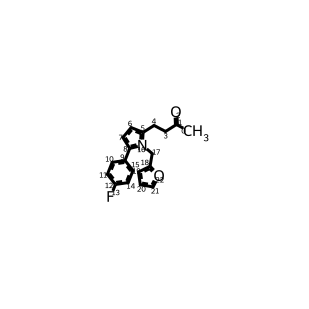 CC(=O)CCc1ccc(-c2ccc(F)cc2)n1Cc1ccco1